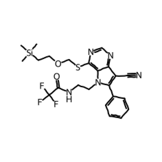 C[Si](C)(C)CCOCSc1ncnc2c(C#N)c(-c3ccccc3)n(CCNC(=O)C(F)(F)F)c12